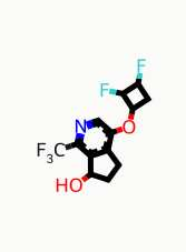 OC1CCc2c(OC3CC(F)C3F)cnc(C(F)(F)F)c21